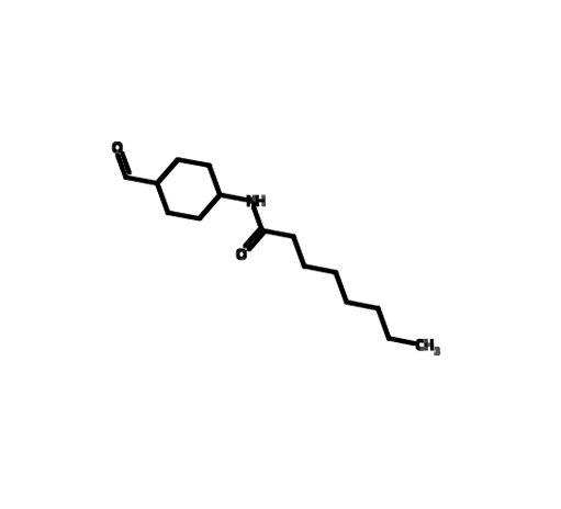 CCCCCCCC(=O)NC1CCC(C=O)CC1